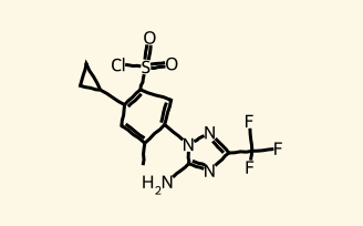 Cc1cc(C2CC2)c(S(=O)(=O)Cl)cc1-n1nc(C(F)(F)F)nc1N